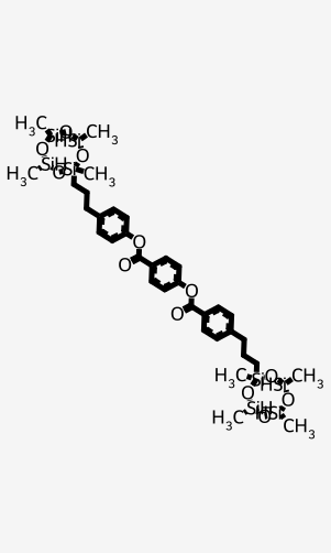 C[SiH]1O[SiH](C)O[Si](C)(CCCc2ccc(OC(=O)c3ccc(OC(=O)c4ccc(CCC[Si]5(C)O[SiH](C)O[SiH](C)O[SiH](C)O5)cc4)cc3)cc2)O[SiH](C)O1